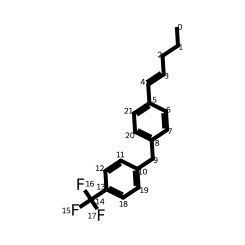 CCCC=Cc1ccc(Cc2ccc(C(F)(F)F)cc2)cc1